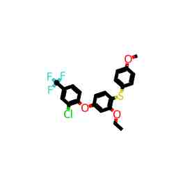 CCOc1cc(Oc2ccc(C(F)(F)F)cc2Cl)ccc1Sc1ccc(OC)cc1